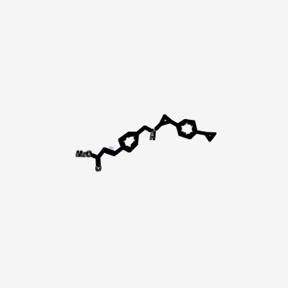 COC(=O)/C=C/c1ccc(CNC2CC2c2ccc(C3CC3)cc2)cc1